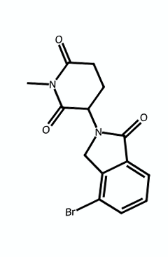 CN1C(=O)CCC(N2Cc3c(Br)cccc3C2=O)C1=O